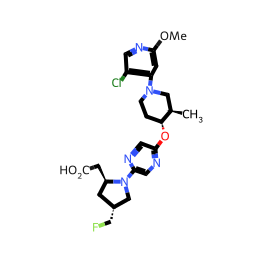 COc1cc(N2CC[C@@H](Oc3cnc(N4C[C@H](CF)C[C@H]4CC(=O)O)cn3)[C@H](C)C2)c(Cl)cn1